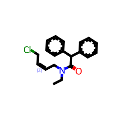 CCN(C/C=C\CCl)C(=O)C(c1ccccc1)c1ccccc1